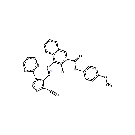 COc1ccc(NC(=O)c2cc3ccccc3c(/N=N/c3c(C#N)cnn3-c3ncccn3)c2O)cc1